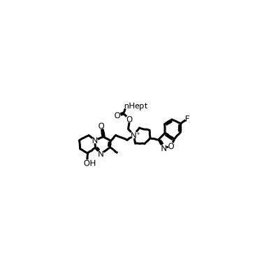 CCCCCCCC(=O)OC[N+]1(CCc2c(C)nc3n(c2=O)CCCC3O)CCC(c2noc3cc(F)ccc23)CC1